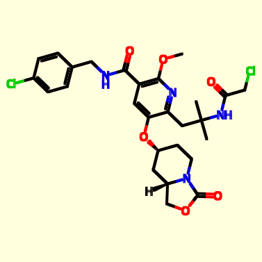 COc1nc(CC(C)(C)NC(=O)CCl)c(O[C@H]2CCN3C(=O)OC[C@@H]3C2)cc1C(=O)NCc1ccc(Cl)cc1